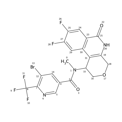 CN(C(=O)c1cnc(C(F)(F)F)c(Br)c1)C1COCc2[nH]c(=O)c3cc(F)c(F)cc3c21